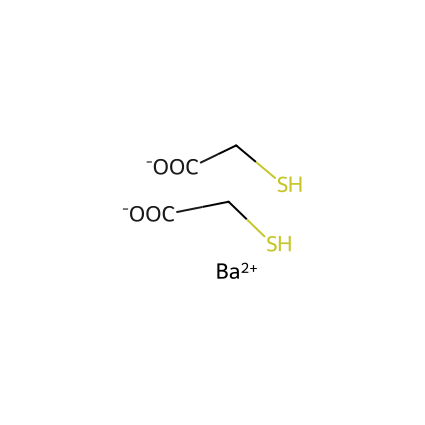 O=C([O-])CS.O=C([O-])CS.[Ba+2]